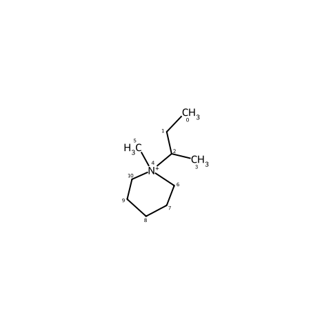 CCC(C)[N+]1(C)CCCCC1